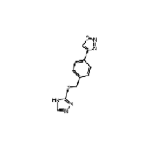 c1nnc(SCc2ccc(-c3csnn3)cc2)[nH]1